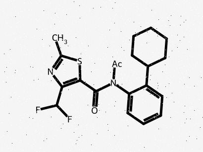 CC(=O)N(C(=O)c1sc(C)nc1C(F)F)c1ccccc1C1CCCCC1